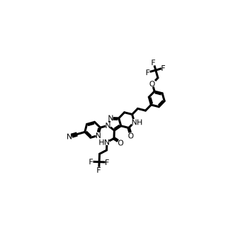 N#Cc1ccc(-n2nc3c(c2C(=O)NCCC(F)(F)F)C(=O)NC(CCc2cccc(OCC(F)(F)F)c2)C3)nc1